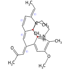 C\C=C(/C=C\C(=C\C(=C/C(C)=O)c1ccc(C)c(OC)c1)C(C)CC)N1CCNCC1